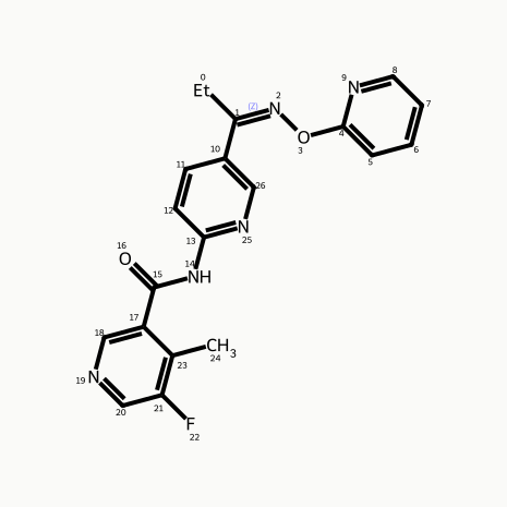 CC/C(=N/Oc1ccccn1)c1ccc(NC(=O)c2cncc(F)c2C)nc1